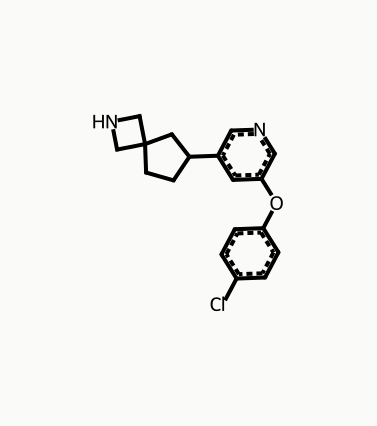 Clc1ccc(Oc2cncc(C3CCC4(CNC4)C3)c2)cc1